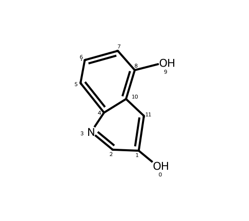 Oc1cnc2c[c]cc(O)c2c1